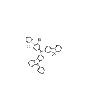 CCc1ccccc1-c1ccc(N(c2ccc3c(c2)C(C)(C)c2ccccc2-3)c2ccc3c(c2)c2ccccc2n3-c2ccccc2)cc1CC